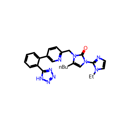 CCCCc1cn(-c2nccn2CC)c(=O)n1Cc1ccc(-c2ccccc2-c2nnn[nH]2)cn1